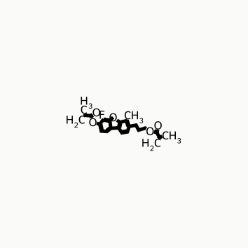 C=C(C)C(=O)OCCCc1ccc2c(oc3c(F)c(OC(=O)C(=C)C)ccc32)c1C